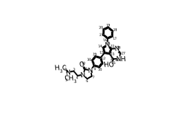 CN(C)CCN1CCN(c2ccc(-c3cn(-c4ccccc4)c4c3C(O)NC=N4)cc2)C1=O